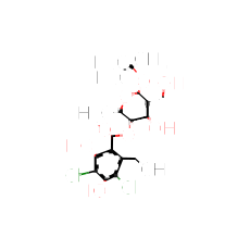 CCc1c(Cl)c(O)c(Cl)c(O)c1C(=O)O[C@@H]1[C@@H](O)[C@@H](CO)C(OC(C)(C)C)O[C@H]1C